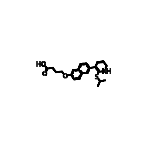 CC(C)SC1=C(c2ccc3cc(OCCCC(=O)O)ccc3c2)C=CCN1